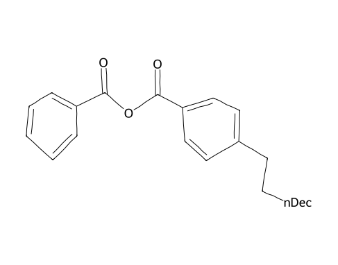 CCCCCCCCCCCCc1ccc(C(=O)OC(=O)c2ccccc2)cc1